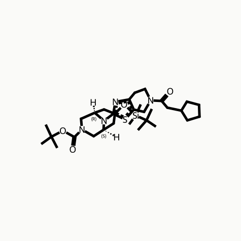 CC(C)(C)OC(=O)N1C[C@H]2CC(O[Si](C)(C)C(C)(C)C)C[C@@H](C1)N2c1nc2c(s1)CN(C(=O)CC1CCCC1)CC2